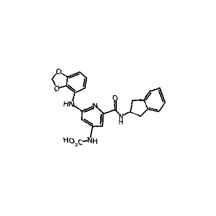 O=C(O)Nc1cc(Nc2cccc3c2OCO3)nc(C(=O)NC2Cc3ccccc3C2)c1